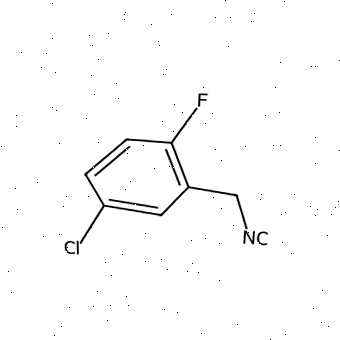 [C-]#[N+]Cc1cc(Cl)ccc1F